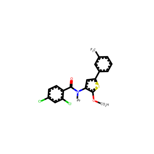 CC(C)N(C(=O)c1ccc(Cl)cc1Cl)c1cc(-c2cccc(C(F)(F)F)c2)sc1OC(=O)O